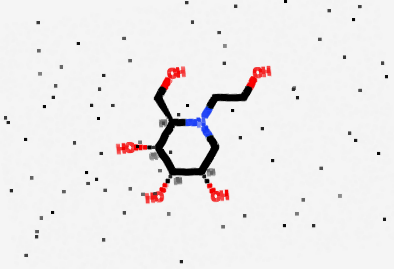 OCCN1C[C@H](O)[C@H](O)[C@H](O)[C@H]1CO